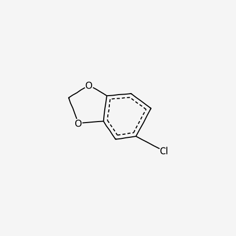 Clc1ccc2c(c1)OCO2